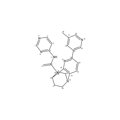 C=C(Nc1ccncn1)N1c2nc(-c3cncc(C)c3)ccc2N2CCC1CC2